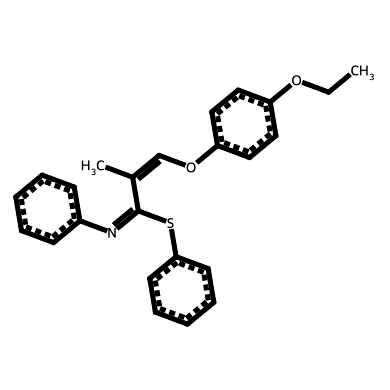 CCOc1ccc(OC=C(C)/C(=N\c2ccccc2)Sc2ccccc2)cc1